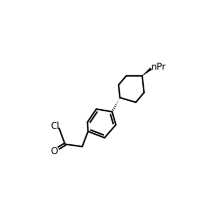 CCC[C@H]1CC[C@H](c2ccc(CC(=O)Cl)cc2)CC1